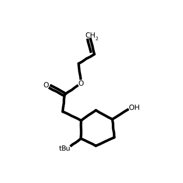 C=CCOC(=O)CC1CC(O)CCC1C(C)(C)C